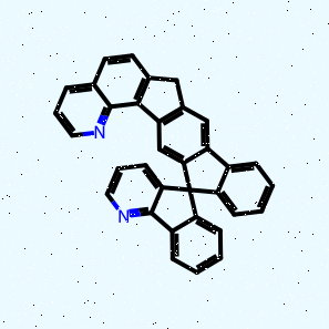 c1ccc2c(c1)-c1cc3c(cc1C21c2ccccc2-c2ncccc21)-c1c(ccc2cccnc12)C3